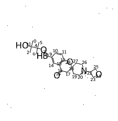 CC(C)(O)C(C)(C)OBc1ccc2c(c1)C(=O)CC1(CCN(C3COC3)CC1)O2